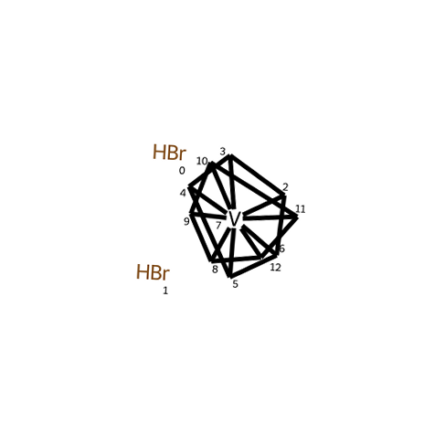 Br.Br.[CH]12[CH]3[CH]4[CH]5[CH]1[V]23451678[CH]2[CH]1[CH]6[CH]7[CH]28